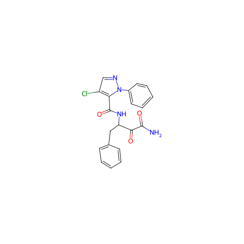 NC(=O)C(=O)C(Cc1ccccc1)NC(=O)c1c(Cl)cnn1-c1ccccc1